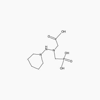 O=C(O)CN(CP(=O)(O)O)NN1CCCCC1